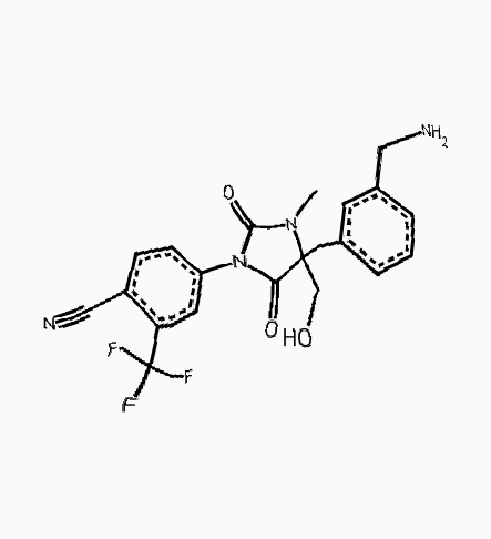 CN1C(=O)N(c2ccc(C#N)c(C(F)(F)F)c2)C(=O)C1(CO)c1cccc(CN)c1